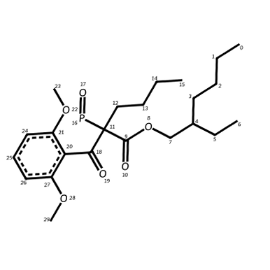 CCCCC(CC)COC(=O)C(CCCC)(P=O)C(=O)c1c(OC)cccc1OC